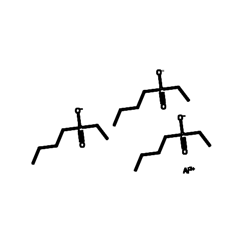 CCCCP(=O)([O-])CC.CCCCP(=O)([O-])CC.CCCCP(=O)([O-])CC.[Al+3]